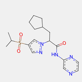 CC(C)S(=O)(=O)c1cnn(C(CC2CCCC2)C(=O)Nc2cnccn2)c1